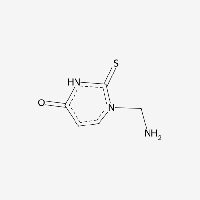 NCn1ccc(=O)[nH]c1=S